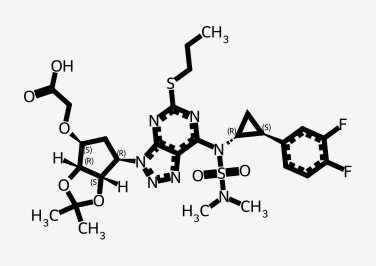 CCCSc1nc(N([C@@H]2C[C@H]2c2ccc(F)c(F)c2)S(=O)(=O)N(C)C)c2nnn([C@@H]3C[C@H](OCC(=O)O)[C@H]4OC(C)(C)O[C@H]43)c2n1